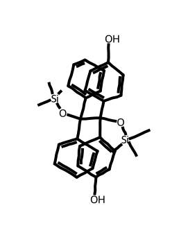 C[Si](C)(C)OC(c1ccccc1)(c1ccccc1)C(O[Si](C)(C)C)(c1ccc(O)cc1)c1ccc(O)cc1